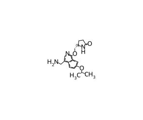 CC(C)Oc1ccc2c(CN)cnc(OC[C@@H]3CCC(=O)N3)c2c1